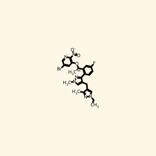 CCn1cc(Cc2cn(C)nc2-c2ccc(F)cc2[C@@H](C)Oc2cc(Br)cnc2[N+](=O)[O-])c(C)n1